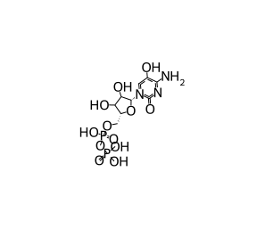 Nc1nc(=O)n([C@@H]2O[C@H](COP(=O)(O)OP(=O)(O)O)C(O)C2O)cc1O